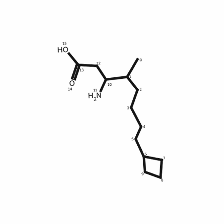 CC(CCCCC1CCC1)C(N)CC(=O)O